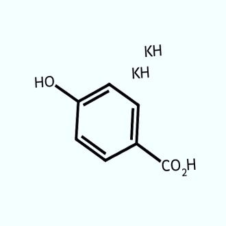 O=C(O)c1ccc(O)cc1.[KH].[KH]